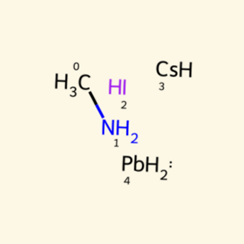 CN.I.[CsH].[PbH2]